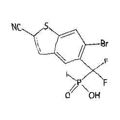 N#Cc1cc2cc(C(F)(F)P(=O)(O)I)c(Br)cc2s1